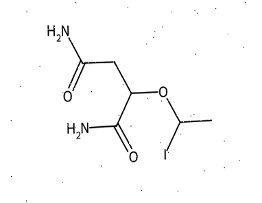 CC(I)OC(CC(N)=O)C(N)=O